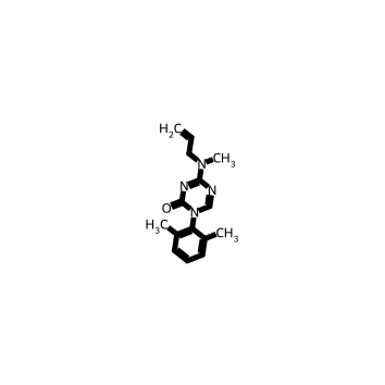 C=CCN(C)c1ncn(-c2c(C)cccc2C)c(=O)n1